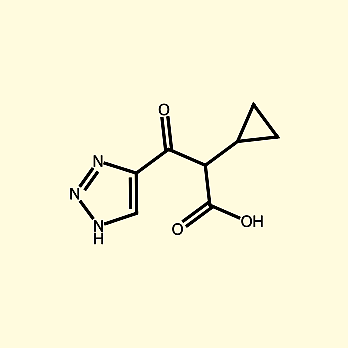 O=C(O)C(C(=O)c1c[nH]nn1)C1CC1